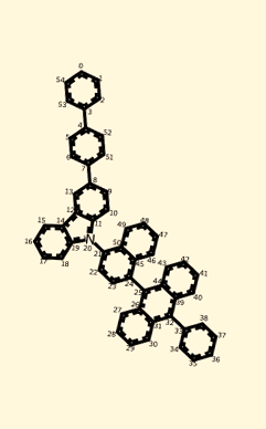 c1ccc(-c2ccc(-c3ccc4c(c3)c3ccccc3n4-c3ccc(-c4c5ccccc5c(-c5ccccc5)c5ccccc45)c4ccccc34)cc2)cc1